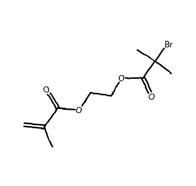 C=C(C)C(=O)OCCOC(=O)C(C)(C)Br